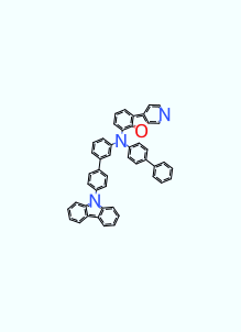 c1ccc(-c2ccc(N(c3cccc(-c4ccc(-n5c6ccccc6c6ccccc65)cc4)c3)c3cccc4c3oc3cnccc34)cc2)cc1